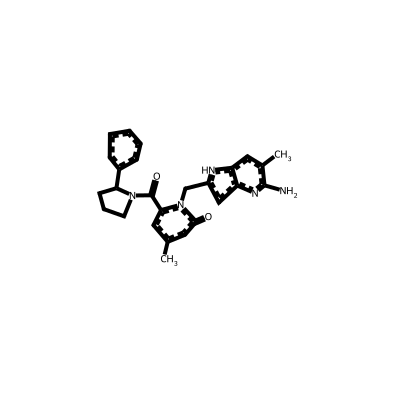 Cc1cc(C(=O)N2CCCC2c2ccccc2)n(Cc2cc3nc(N)c(C)cc3[nH]2)c(=O)c1